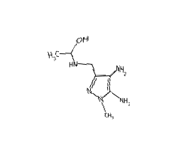 CC(O)NCc1nn(C)c(N)c1N